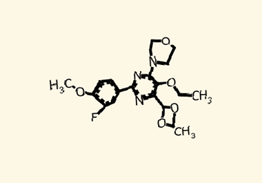 CCOc1c(C2OC(C)O2)nc(-c2ccc(OC)c(F)c2)nc1N1CCOCC1